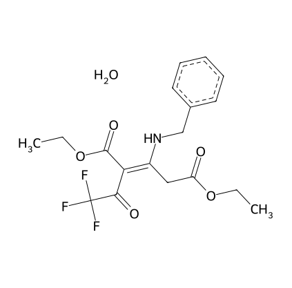 CCOC(=O)C/C(NCc1ccccc1)=C(/C(=O)OCC)C(=O)C(F)(F)F.O